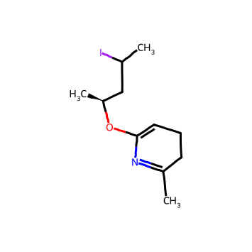 CC1=NC(O[C@@H](C)CC(C)I)=CCC1